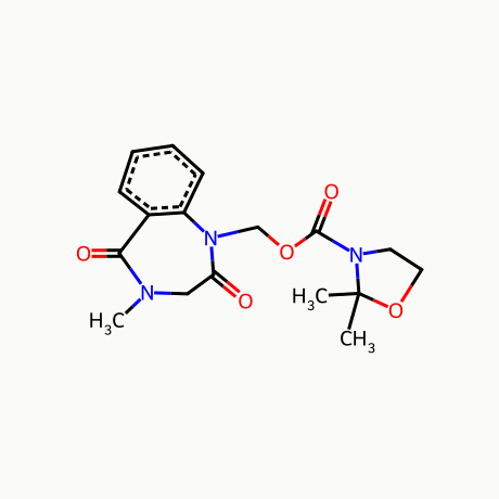 CN1CC(=O)N(COC(=O)N2CCOC2(C)C)c2ccccc2C1=O